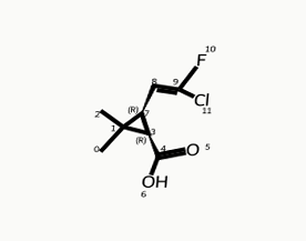 CC1(C)[C@H](C(=O)O)[C@@H]1C=C(F)Cl